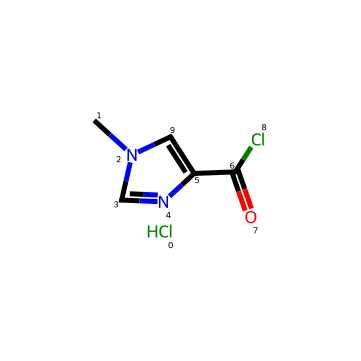 Cl.Cn1cnc(C(=O)Cl)c1